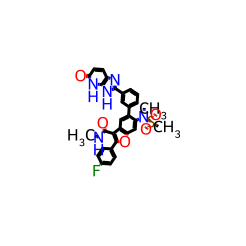 CNC(=O)c1c(-c2ccc(F)cc2)oc2cc(N(C)S(C)(=O)=O)c(-c3cccc(-c4nc5ccc(=O)[nH]c5[nH]4)c3)cc12